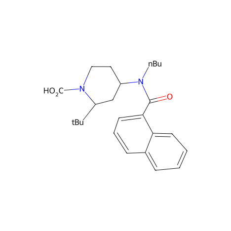 CCCCN(C(=O)c1cccc2ccccc12)C1CCN(C(=O)O)C(C(C)(C)C)C1